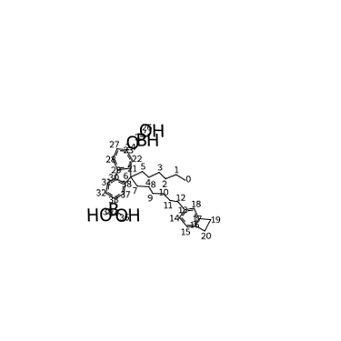 CCCCCCC1(CCCCCCc2ccc3c(c2)CC3)c2cc(OBO)ccc2-c2ccc(B(O)O)cc21